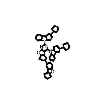 c1ccc(-c2ccc3c(c2)c2ccccc2n3-c2nc(-n3c4ccccc4c4cc(-c5ccccc5)ccc43)c3c(n2)oc2ccc(-c4ccc5oc6ccccc6c5c4)cc23)cc1